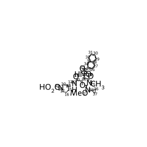 CON(C(=O)N(C)C(=O)[C@H](CC(=O)NC[C@@H]1CCCN(C(=O)O)C1)NS(=O)(=O)c1ccc2ccccc2c1)C1CC1